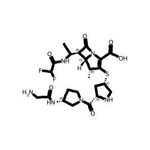 CC(NC(=O)C(F)F)[C@H]1C(=O)N2C(C(=O)O)=C(S[C@@H]3CN[C@H](C(=O)N4CC[C@@H](NC(=O)CN)C4)C3)[C@H](C)[C@H]12